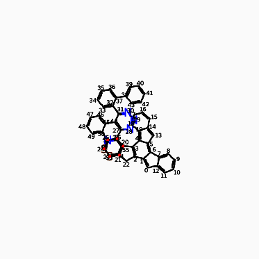 C1=c2c3c(c4c(c2-c2ccccc21)C=c1ccccc1=4)C1=C(C3)SSN=C1c1nnnc(-c2ccccc2-c2ccccc2)c1-c1ccccc1-c1ccccc1